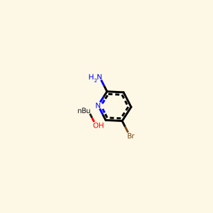 CCCCO.Nc1ccc(Br)cn1